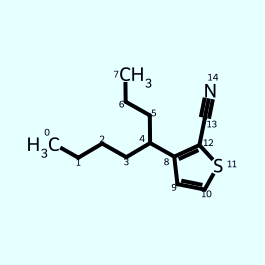 CCCCC(CCC)c1ccsc1C#N